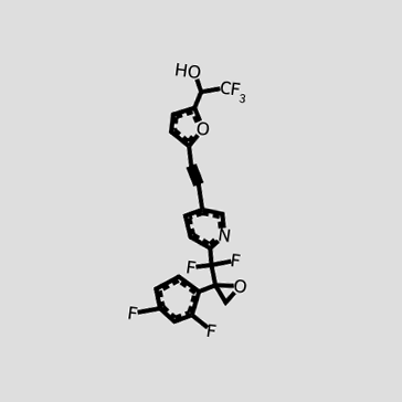 OC(c1ccc(C#Cc2ccc(C(F)(F)C3(c4ccc(F)cc4F)CO3)nc2)o1)C(F)(F)F